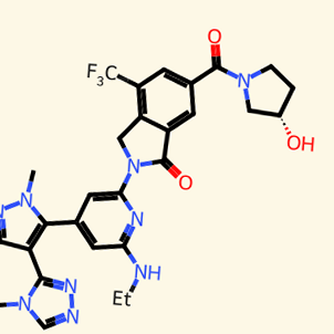 CCNc1cc(-c2c(-c3nncn3C)cnn2C)cc(N2Cc3c(cc(C(=O)N4CC[C@H](O)C4)cc3C(F)(F)F)C2=O)n1